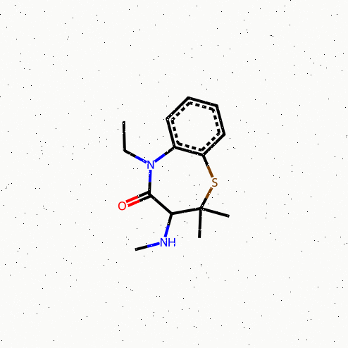 CCN1C(=O)C(NC)C(C)(C)Sc2ccccc21